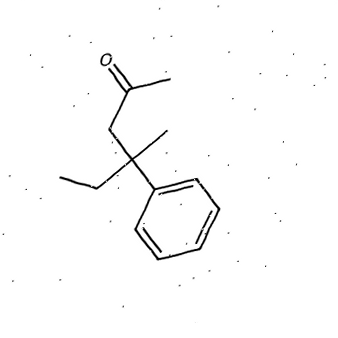 CCC(C)(CC(C)=O)c1ccccc1